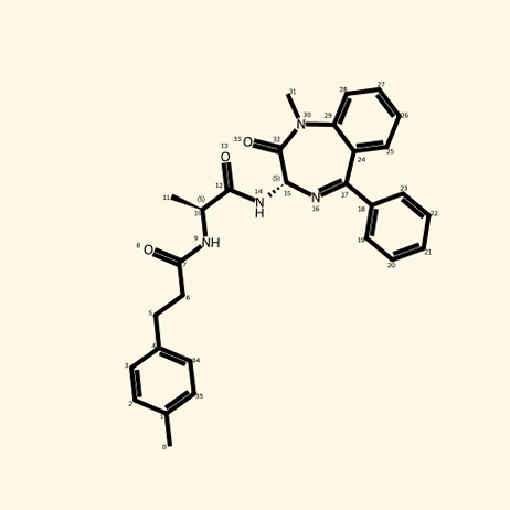 Cc1ccc(CCC(=O)N[C@@H](C)C(=O)N[C@H]2N=C(c3ccccc3)c3ccccc3N(C)C2=O)cc1